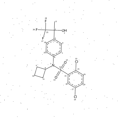 CC(O)(c1ccc(N(C2CCC2)S(=O)(=O)c2cc(Cl)ccc2Cl)cc1)C(F)(F)F